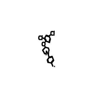 [CH2]c1ccc(N2CCC(Oc3ccc(Cl)cc3Cl)CC2)cc1